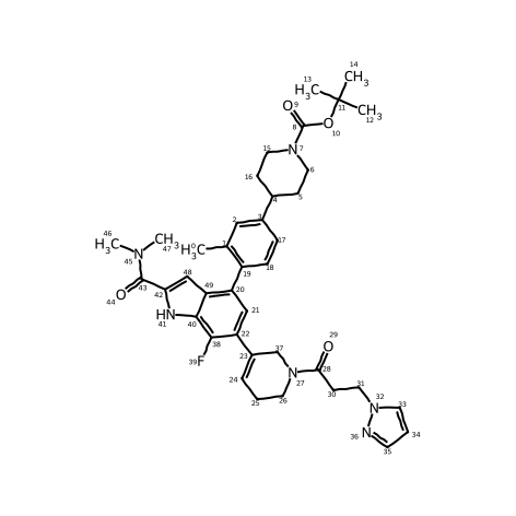 Cc1cc(C2CCN(C(=O)OC(C)(C)C)CC2)ccc1-c1cc(C2=CCCN(C(=O)CCn3cccn3)C2)c(F)c2[nH]c(C(=O)N(C)C)cc12